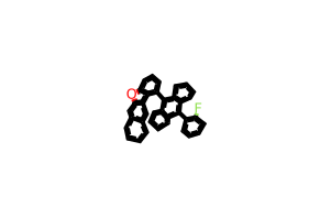 Fc1ccccc1-c1c2ccccc2c(-c2cccc3oc4cc5ccccc5cc4c23)c2ccccc12